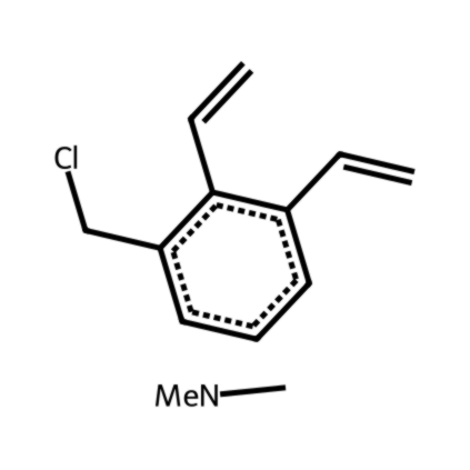 C=Cc1cccc(CCl)c1C=C.CNC